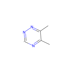 Cc1n[c]nnc1C